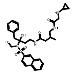 CC(C)CN(C(O)(CCNC(=O)CC(C)CNC(=O)CNC1CC1)Cc1ccccc1)S(=O)(=O)c1ccc2ccccc2c1